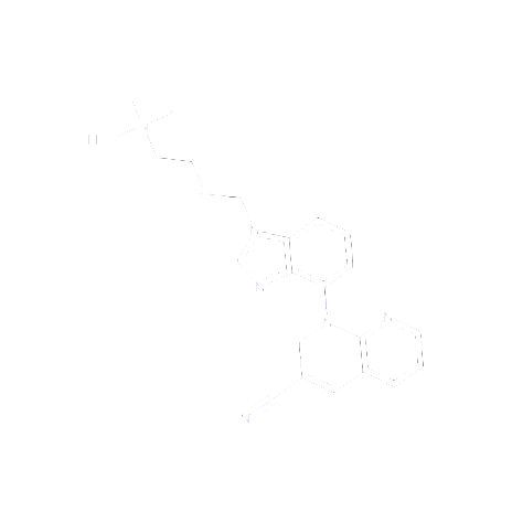 C[Si](C)(C)CCOCn1cnc2c(N3CC(C#N)=Cc4cccnc43)cccc21